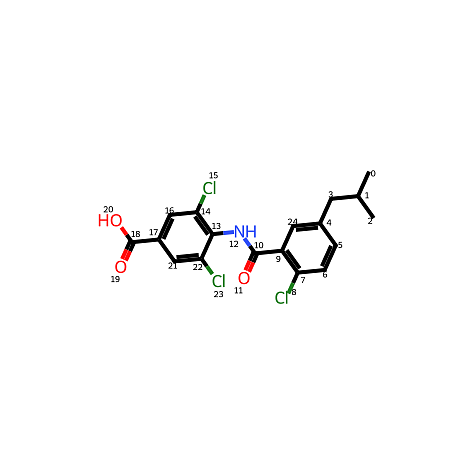 CC(C)Cc1ccc(Cl)c(C(=O)Nc2c(Cl)cc(C(=O)O)cc2Cl)c1